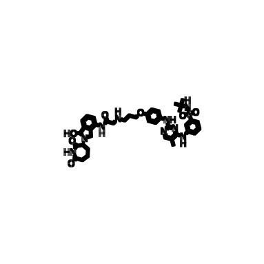 Cc1cnc(Nc2ccc(OCCCNCC(=O)Nc3cccc4c3CN([C@H]3CCCC(=O)NC3=O)C4O)cc2)nc1Nc1cccc(S(=O)(=O)NC(C)(C)C)c1